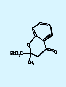 CCOC(=O)C1(C)CC(=O)c2ccccc2O1